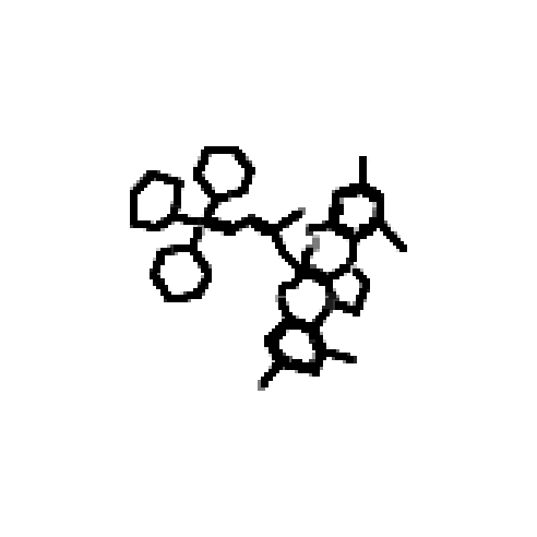 CC(=CC=P(C1CCCCC1)(C1CCCCC1)C1CCCCC1)[CH2][Ru]([Cl])([Cl])=[C]1N(c2c(C)cc(C)cc2C)CCN1c1c(C)cc(C)cc1C